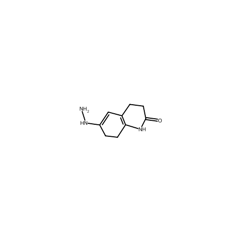 NNC1=CC2=C(CC1)NC(=O)CC2